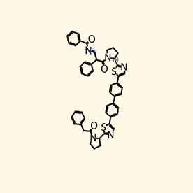 O=C(/N=C/C(C(=O)N1CCC[C@H]1c1ncc(-c2ccc(-c3ccc(-c4cnc(C5CCCN5C(=O)Cc5ccccc5)s4)cc3)cc2)s1)c1ccccc1)c1ccccc1